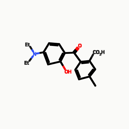 CCN(CC)c1ccc(C(=O)c2ccc(C)cc2C(=O)O)c(O)c1